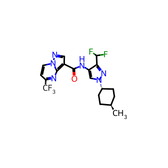 C[C@H]1CC[C@H](n2cc(NC(=O)c3cnn4ccc(C(F)(F)F)nc34)c(C(F)F)n2)CC1